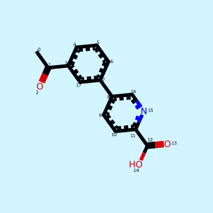 CC(=O)c1cccc(-c2ccc(C(=O)O)nc2)c1